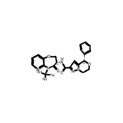 [2H]C([2H])([2H])N1C(=O)[C@@H](NC(=O)c2cc3n(n2)CCO[C@H]3c2ccccc2)COc2cccnc21